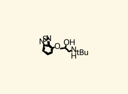 CC(C)(C)NCC(O)COc1cccc2nsnc12